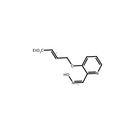 CCOC(=O)/C=C/COc1cccnc1/C=N\O